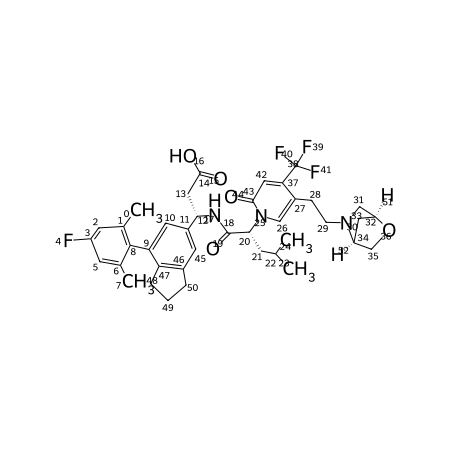 Cc1cc(F)cc(C)c1-c1cc([C@H](CC(=O)O)NC(=O)[C@@H](CC(C)C)n2cc(CCN3C[C@@H]4C[C@H]3CO4)c(C(F)(F)F)cc2=O)cc2c1CCC2